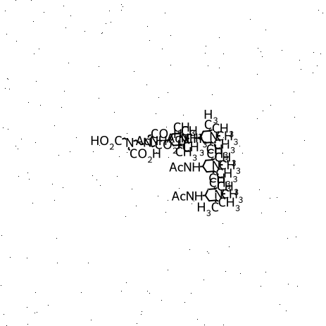 CC(=O)NC1CC(C)(C)N(C)C(C)(C)C1.CC(=O)NC1CC(C)(C)N(C)C(C)(C)C1.CC(=O)NC1CC(C)(C)N(C)C(C)(C)C1.CC(=O)NC1CC(C)(C)N(C)C(C)(C)C1.O=C(O)CN(CCN(CC(=O)O)CC(=O)O)CC(=O)O